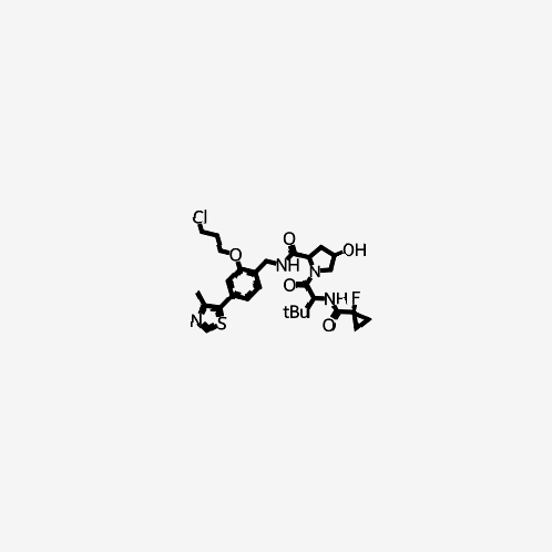 Cc1ncsc1-c1ccc(CNC(=O)C2CC(O)CN2C(=O)C(NC(=O)C2(F)CC2)C(C)(C)C)c(OCCCCl)c1